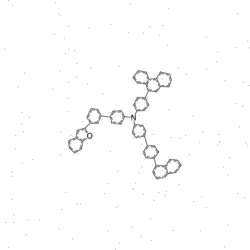 c1cc(-c2ccc(N(c3ccc(-c4ccc(-c5cccc6ccccc56)cc4)cc3)c3ccc(-c4cc5ccccc5c5ccccc45)cc3)cc2)cc(-c2cc3ccccc3o2)c1